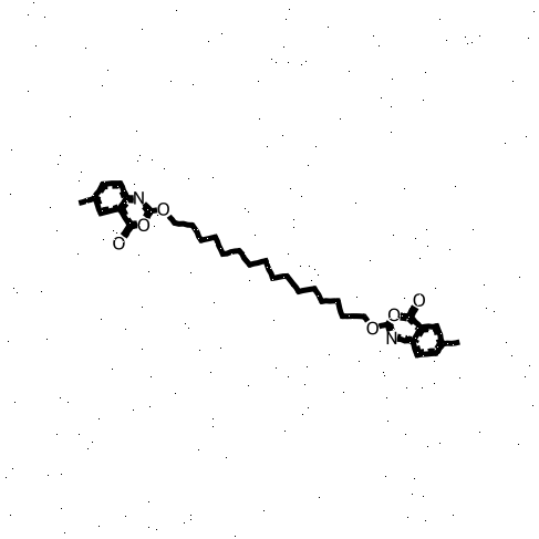 Cc1ccc2nc(OCCCCCCCCCCCCCCCCOc3nc4ccc(C)cc4c(=O)o3)oc(=O)c2c1